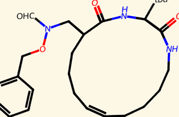 CC(C)(C)C1NC(=O)C(CN(C=O)OCc2ccccc2)CCCC=CCCCCNC1=O